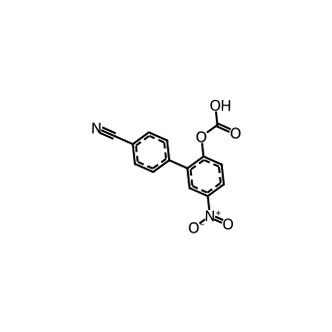 N#Cc1ccc(-c2cc([N+](=O)[O-])ccc2OC(=O)O)cc1